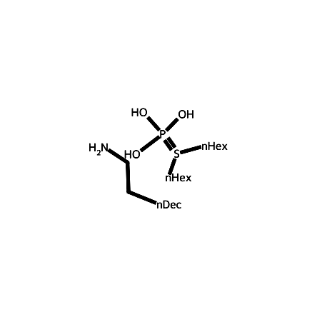 CCCCCCCCCCCCN.CCCCCCS(CCCCCC)=P(O)(O)O